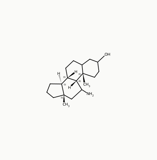 C[C@@]12CCC[C@H]1[C@@H]1CCC3CC(O)CC[C@]3(C)[C@@H]1C(N)C2